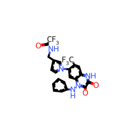 O=C(NCc1ccn(-c2cc3c(cc2C(F)(F)F)[nH]c(=O)c(=O)n3Nc2ccccc2)c1)C(F)(F)F